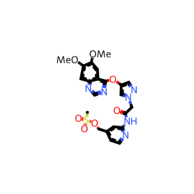 COc1cc2ncnc(Oc3cnn(CC(=O)Nc4cc(COS(C)(=O)=O)ccn4)c3)c2cc1OC